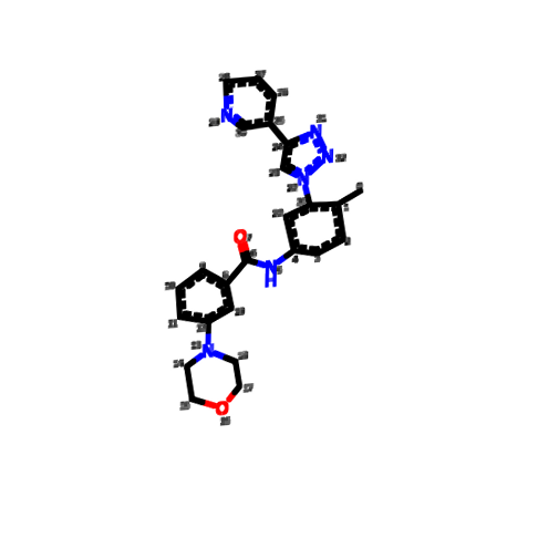 Cc1ccc(NC(=O)c2cccc(N3CCOCC3)c2)cc1-n1cc(-c2cccnc2)nn1